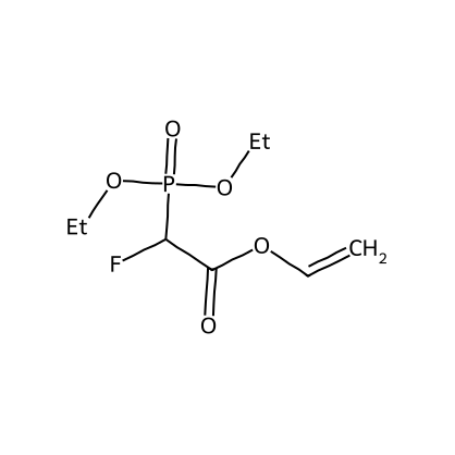 C=COC(=O)C(F)P(=O)(OCC)OCC